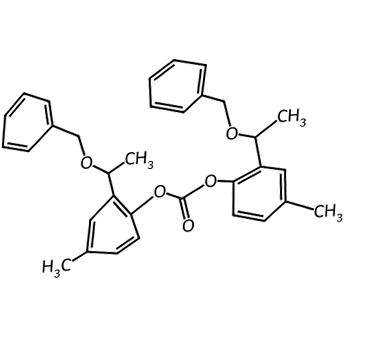 Cc1ccc(OC(=O)Oc2ccc(C)cc2C(C)OCc2ccccc2)c(C(C)OCc2ccccc2)c1